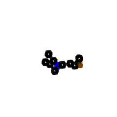 c1ccc(-c2ccc(N(c3ccc(-c4ccc5c(ccc6sc7ccccc7c65)c4)cc3)c3ccccc3-c3ccc4ccccc4c3)cc2)cc1